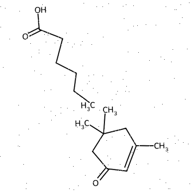 CC1=CC(=O)CC(C)(C)C1.CCCCCC(=O)O